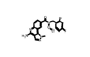 CCON(Cc1ccc(F)cc1Br)C(=O)c1ccc2nc(N)c3cnn(C)c3c2c1